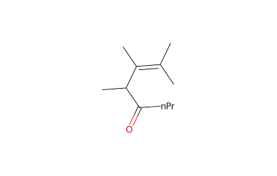 CCCC(=O)C(C)C(C)=C(C)C